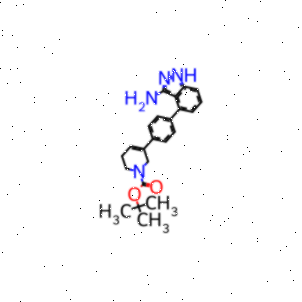 CC(C)(C)OC(=O)N1CCC=C(c2ccc(-c3cccc4[nH]nc(N)c34)cc2)C1